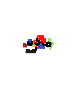 CNCCOC1C(Sc2cncc(Br)c2)OC(CO)C(O)C1n1cc(-c2cc(F)c(F)c(F)c2)nn1